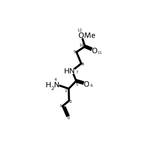 C=CCC(N)C(=O)NCCC(=O)OC